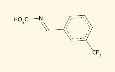 O=C(O)/N=C/c1cccc(C(F)(F)F)c1